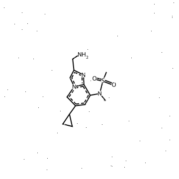 CN(c1cc(C2CC2)cn2cc(CN)nc12)S(C)(=O)=O